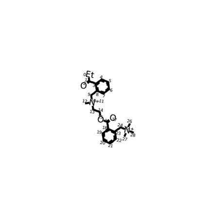 CCC(=O)c1ccccc1C[N+](C)(C)CCOC(=O)c1ccccc1C[N+](C)(C)C